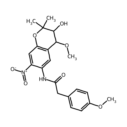 COc1ccc(CC(=O)Nc2cc3c(cc2[N+](=O)[O-])OC(C)(C)C(O)C3OC)cc1